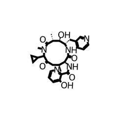 C[C@H]1CC(=O)C(C2CC2)N(C)C(=O)[C@H](C)[C@H](O)[C@H](Cc2cccnc2)NC(=O)[C@H]1NC(=O)c1ncccc1O